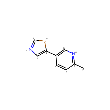 Cc1ccc(-c2cncs2)cn1